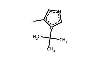 CC(C)(C)n1cncc1I